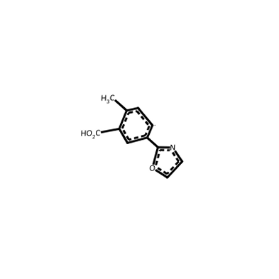 Cc1c[c]c(-c2ncco2)cc1C(=O)O